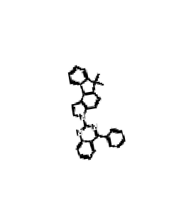 CC1(C)c2ccccc2-c2c1ccc1c2ccn1-c1nc(-c2ccccc2)c2ccccc2n1